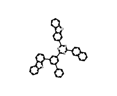 c1ccc(-c2cc(-c3nc(-c4ccc5ccccc5c4)nc(-c4ccc5c(c4)oc4ccccc45)n3)cc(-c3cccc4c3sc3ccccc34)c2)cc1